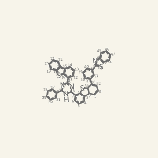 C1=CC2c3cccc(C4N=C(c5cccc6c5sc5ccccc56)N=C(c5ccccc5)N4)c3SC2C(c2cccc(-c3nc4ccccc4s3)c2)=C1